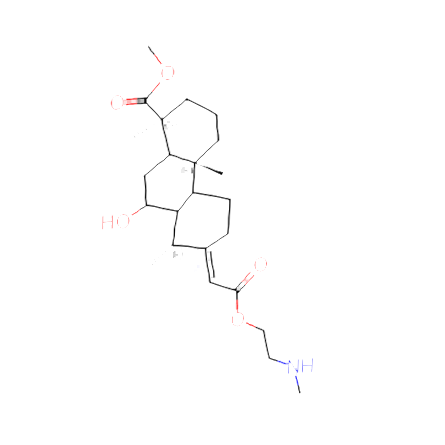 CNCCOC(=O)/C=C1\CCC2C(C(O)CC3[C@]2(C)CCC[C@]3(C)C(=O)OC)[C@H]1C